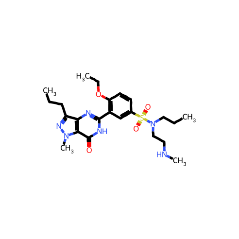 CCCc1nn(C)c2c(=O)[nH]c(-c3cc(S(=O)(=O)N(CCC)CCNC)ccc3OCC)nc12